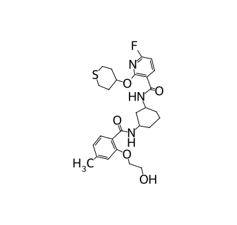 Cc1ccc(C(=O)NC2CCCC(NC(=O)c3ccc(F)nc3OC3CCSCC3)C2)c(OCCO)c1